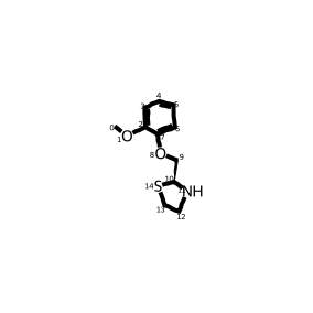 COc1ccccc1OC[C@H]1NCCS1